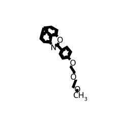 COCCOCCOc1ccc(C2=Nc3ccc4c5c-4ccc(c35)O2)cc1